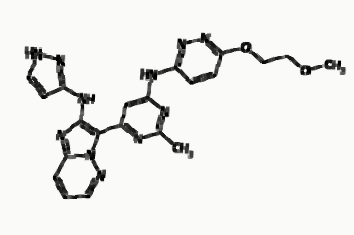 COCCOc1ccc(Nc2cc(-c3c(Nc4cc[nH]n4)nc4cccnn34)nc(C)n2)nn1